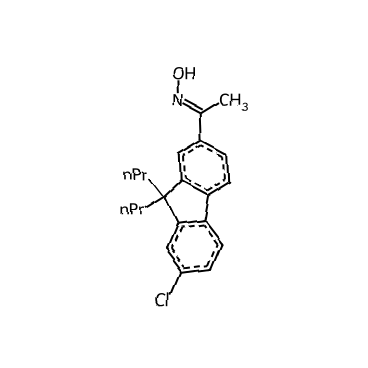 CCCC1(CCC)c2cc(Cl)ccc2-c2ccc(C(C)=NO)cc21